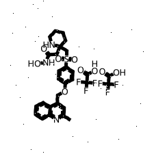 Cc1cc(COc2ccc(S(=O)(=O)CC3(CC(=O)NO)CCCCN3)cc2)c2ccccc2n1.O=C(O)C(F)(F)F.O=C(O)C(F)(F)F